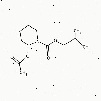 CC(=O)O[C@@H]1CCCCN1C(=O)OCC(C)C